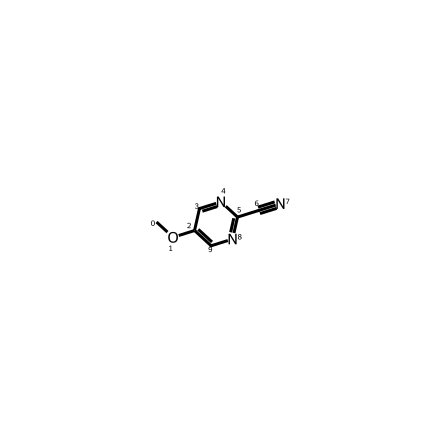 COc1cnc(C#N)nc1